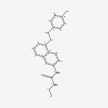 CCNC(=O)Nc1cc2cccc(COc3ccc(C)nc3)c2cn1